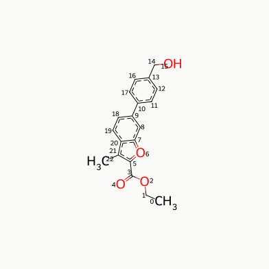 CCOC(=O)c1oc2cc(-c3ccc(CO)cc3)ccc2c1C